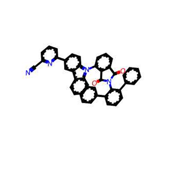 N#Cc1cccc(-c2ccc3c(c2)c2ccccc2n3-c2cccc3c2C(=O)N(c2c(-c4ccccc4)cccc2-c2ccccc2)C3=O)n1